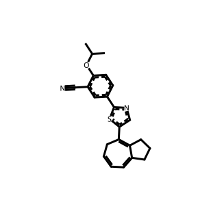 CC(C)Oc1ccc(-c2ncc(C3=C4CCCC4=CC=CC3)s2)cc1C#N